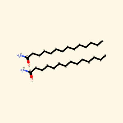 CCCCCCCCCCCCCC(N)=O.CCCCCCCCCCCCCC(N)=O